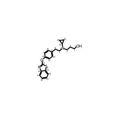 OCCCN(CCc1ccc(Oc2nc3ccccc3s2)cc1)C1CC1